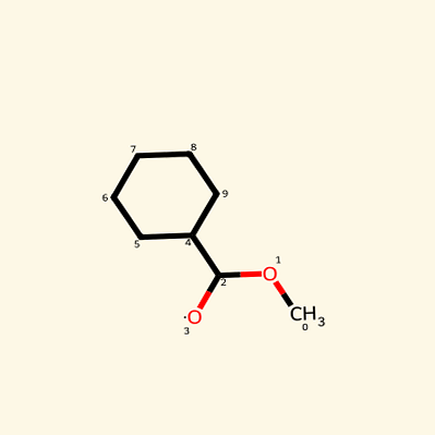 COC([O])C1CCCCC1